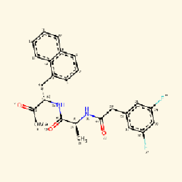 COC(=O)[C@H](Cc1cccc2ccccc12)NC(=O)[C@H](C)NC(=O)Cc1cc(F)cc(F)c1